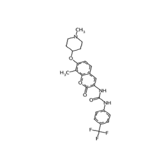 Cc1c(OC2CCN(C)CC2)ccc2cc(NC(=O)Nc3ccc(C(F)(F)F)cc3)c(=O)oc12